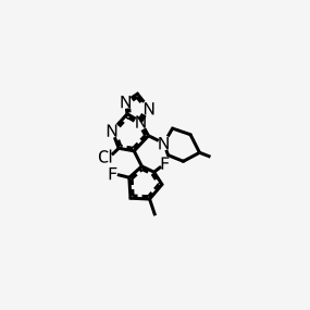 Cc1cc(F)c(-c2c(Cl)nc3ncnn3c2N2CCC(C)CC2)c(F)c1